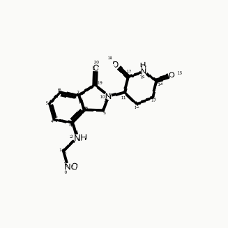 O=NCNc1cccc2c1CN(C1CCC(=O)NC1=O)C2=O